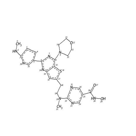 CNc1ccc(-c2nc(N3CCOCC3)c3sc(CCN(C)c4ncc(C(=O)NO)cn4)cc3n2)cn1